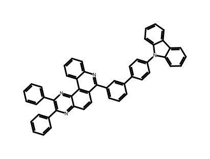 c1ccc(-c2nc3ccc4c(-c5cccc(-c6ccc(-n7c8ccccc8c8ccccc87)cc6)c5)nc5ccccc5c4c3nc2-c2ccccc2)cc1